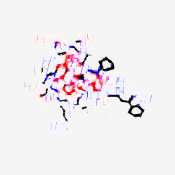 CC[C@H](C)[C@H](NC(=O)[C@@H]1CCCN1C(=O)[C@H](Cc1c[nH]c2ccccc12)NC(=O)CNC(=O)[C@@H](N)Cc1c[nH]c2ccccc12)C(=O)N[C@@H](CC(=O)O)C(=O)N[C@@H](CC(=O)O)C(=O)N[C@@H](C)C(=O)N[C@H](C(=O)N[C@H](C(=O)N[C@@H](CCC(=O)O)C(=O)N[C@@H](CCCCN)C(=O)N[C@@H](CC(C)C)C(=O)N[C@@H](CO)C(=O)O)[C@@H](C)O)[C@@H](C)O